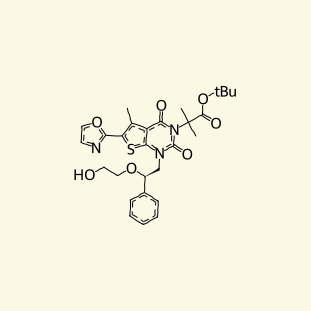 Cc1c(-c2ncco2)sc2c1c(=O)n(C(C)(C)C(=O)OC(C)(C)C)c(=O)n2C[C@H](OCCO)c1ccccc1